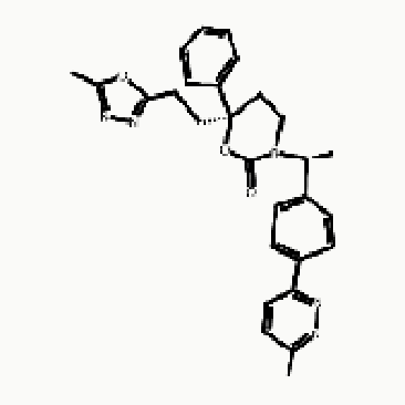 Cc1ccc(-c2ccc([C@H](C)N3CC[C@](CCc4nnc(C)o4)(c4ccccc4)OC3=O)cc2)nn1